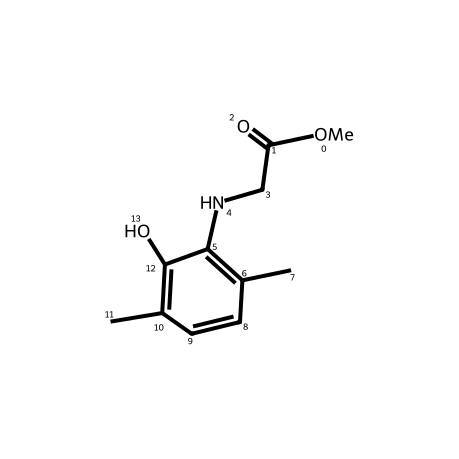 COC(=O)CNc1c(C)ccc(C)c1O